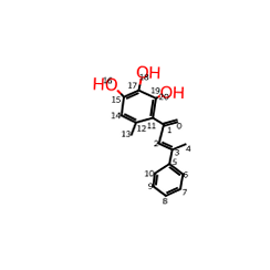 C=C(/C=C(\C)c1ccccc1)c1c(C)cc(O)c(O)c1O